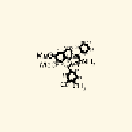 COc1cc2c(cc1OC)[C@H](CCc1ccc(C)c(Cl)c1)N([C@@H](C(N)=O)c1ccccc1)CC2